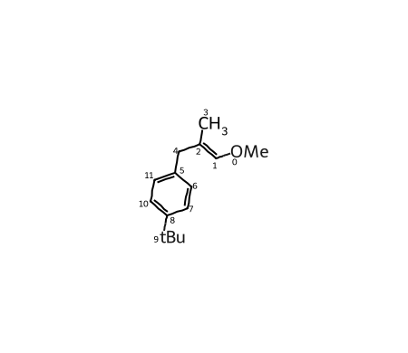 COC=C(C)Cc1ccc(C(C)(C)C)cc1